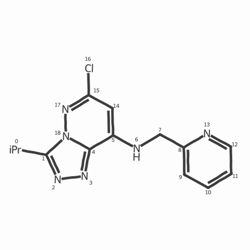 CC(C)c1nnc2c(NCc3ccccn3)cc(Cl)nn12